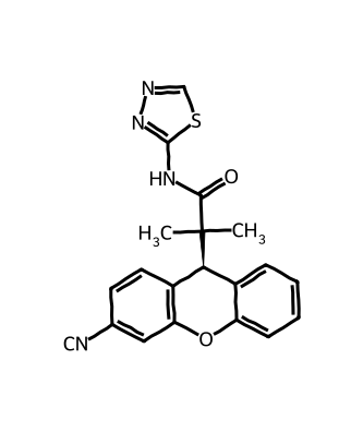 [C-]#[N+]c1ccc2c(c1)Oc1ccccc1[C@@H]2C(C)(C)C(=O)Nc1nncs1